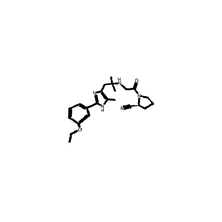 CCOc1cccc(-c2nc(CC(C)(C)NCC(=O)N3CCC[C@H]3C#N)c(C)[nH]2)c1